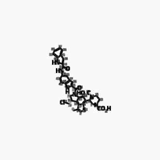 Cc1csc2c(C3CN(C(=O)O)CCN3C(=O)O)cc3c(c12)[C@H](CCl)CN3C(=O)c1cc2cc(NC(=O)c3cc4ccccc4[nH]3)ccc2[nH]1